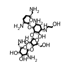 NC[C@@H]1O[C@H](O[C@H]2[C@@H](O)[C@H](O[C@@H]3[C@@H](O)[C@H](NCCO)C[C@H](N)[C@H]3O[C@H]3O[C@H](CN)C=C[C@H]3N)O[C@@H]2CO)[C@H](N)[C@@H](O)[C@@H]1O